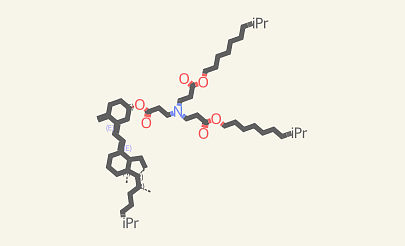 C=C1CC[C@H](OC(=O)CCN(CCC(=O)OCCCCCCCC(C)C)CCC(=O)OCCCCCCCC(C)C)C/C1=C\C=C1/CCC[C@@]2(C)C1CC[C@@H]2[C@H](C)CCCC(C)C